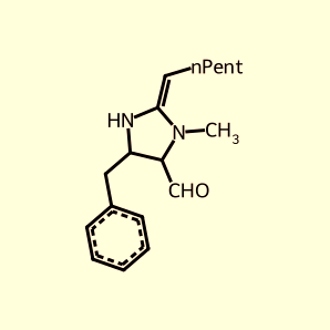 CCCCCC=C1NC(Cc2ccccc2)C(C=O)N1C